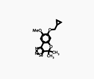 COc1cc2c(cc1OCC1CC1)OC(C)(C)c1[se]nnc1-2